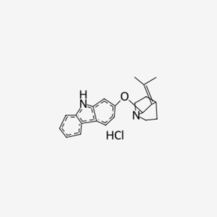 CC(C)=C1C2CCN(CC2)C1Oc1ccc2c(c1)[nH]c1ccccc12.Cl